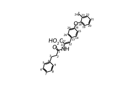 O=C(CCc1ccccc1)N/C(=C/c1ccc(Oc2ccccc2I)cc1)C(=O)O